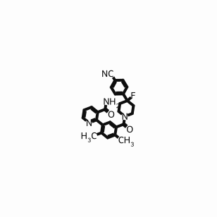 Cc1cc(C)c(-c2ncccc2C(N)=O)cc1C(=O)N1CCC(F)(c2ccc(C#N)cc2)CC1